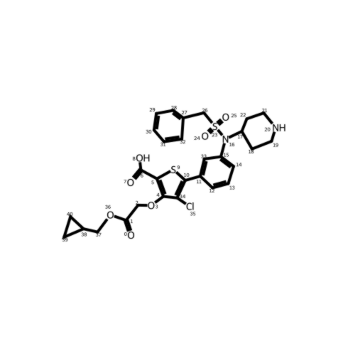 O=C(COc1c(C(=O)O)sc(-c2cccc(N(C3CCNCC3)S(=O)(=O)Cc3ccccc3)c2)c1Cl)OCC1CC1